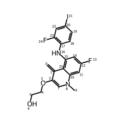 C=C1C(OCCO)=CN(C)c2cc(F)cc(Nc3ccc(I)cc3F)c21